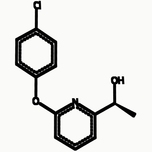 C[C@H](O)c1cccc(Oc2ccc(Cl)cc2)n1